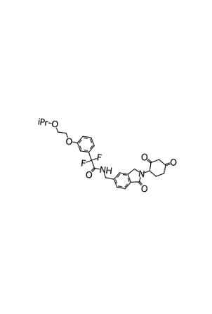 CC(C)OCCOc1cccc(C(F)(F)C(=O)NCc2ccc3c(c2)CN(C2CCC(=O)CC2=O)C3=O)c1